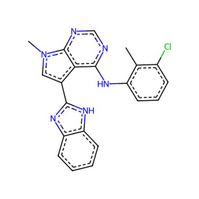 Cc1c(Cl)cccc1Nc1ncnc2c1c(-c1nc3ccccc3[nH]1)cn2C